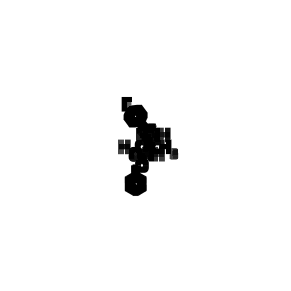 CC(C)(NC(=O)OCc1ccccc1)c1nc(-c2ccc(F)cc2)c[nH]1